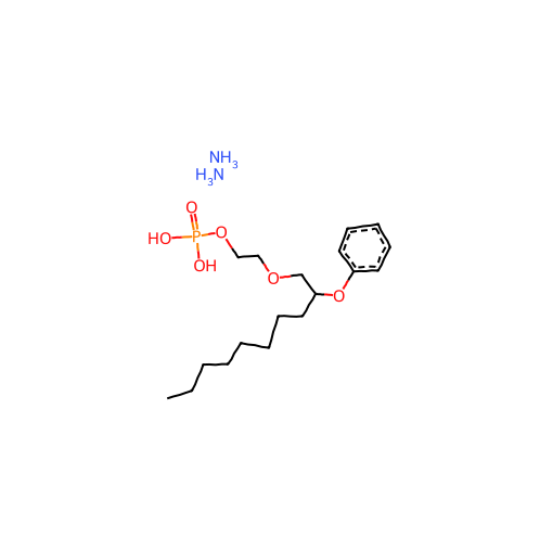 CCCCCCCCC(COCCOP(=O)(O)O)Oc1ccccc1.N.N